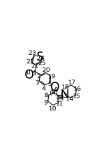 O=C(c1ccc(O[C@@H]2CCCC[C@H]2N2CCCCC2)cc1)c1ccsc1